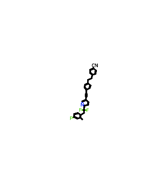 Cc1cc(F)ccc1CC(F)(F)c1ccc(C#Cc2ccc(CCc3ccc(C#N)cc3)cc2)cn1